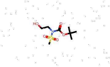 CC(C)(C)OC(=O)N(CCO)S(C)(=O)=O